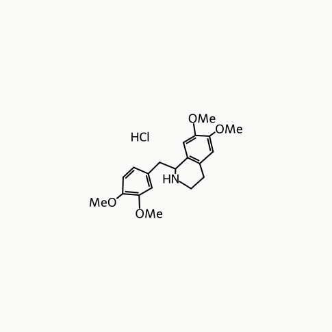 COc1ccc(CC2NCCc3cc(OC)c(OC)cc32)cc1OC.Cl